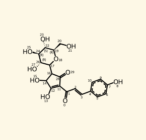 O=C(C=Cc1ccc(O)cc1)C1=C(O)C(O)C(C2O[C@H](CO)[C@@H](O)[C@H](O)[C@H]2O)C1=O